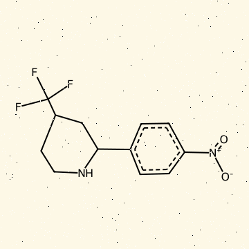 O=[N+]([O-])c1ccc(C2CC(C(F)(F)F)CCN2)cc1